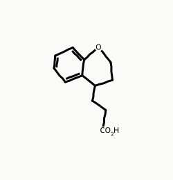 O=C(O)CCC1CCOc2ccccc21